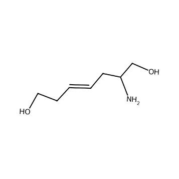 NC(CO)CC=CCCO